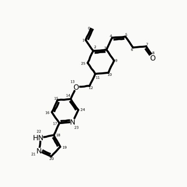 C=CC1=C(/C=C\CC=O)CCC(COc2ccc(-c3ccn[nH]3)nc2)C1